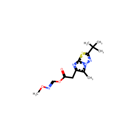 CON=COC(=O)Cc1nc2sc(C(C)(C)C)nn2c1C